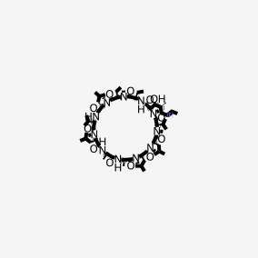 C/C=C/C[C@@H](C)[C@H](O)[C@@H]1C(=O)N[C@H](CC)C(=O)N(C)[C@H](CC)C(=O)N(C)[C@@H](CC(C)C)C(=O)N[C@H](C(C)C)C(=O)N(C)[C@H](CC(C)C)C(=O)N[C@H](C)C(=O)N[C@H](C)C(=O)N(C)[C@H](CC(C)C)C(=O)N(C)[C@H](CC(C)C)C(=O)N(C)[C@H](C(C)C)C(=O)N1C